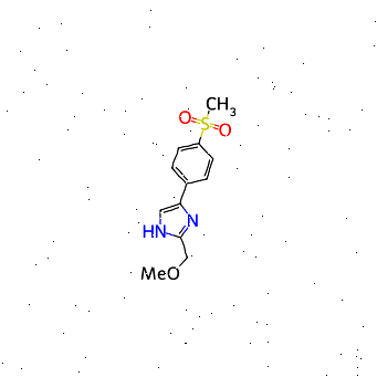 COCc1nc(-c2ccc(S(C)(=O)=O)cc2)c[nH]1